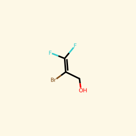 OCC(Br)=C(F)F